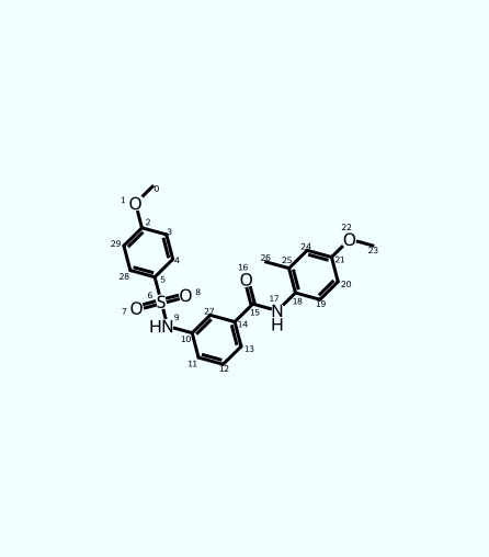 COc1ccc(S(=O)(=O)Nc2cccc(C(=O)Nc3ccc(OC)cc3C)c2)cc1